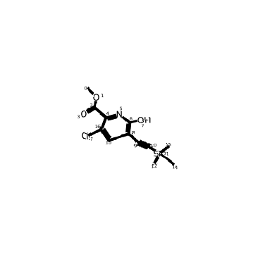 COC(=O)c1nc(O)c(C#C[Si](C)(C)C)cc1Cl